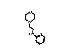 [c]1ccnc(NCCN2CCOCC2)n1